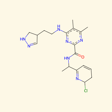 Cc1nc(C(=O)NC(C)C2=NC(Cl)CC=C2)nc(NCCC2C=NNC2)c1C